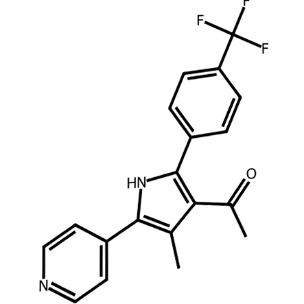 CC(=O)c1c(-c2ccc(C(F)(F)F)cc2)[nH]c(-c2ccncc2)c1C